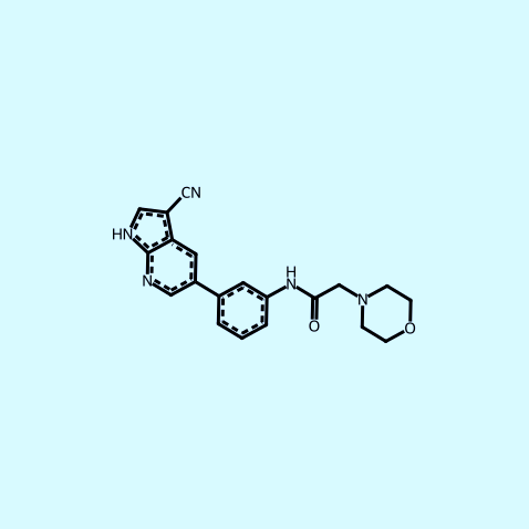 N#Cc1c[nH]c2ncc(-c3cccc(NC(=O)CN4CCOCC4)c3)cc12